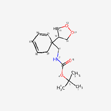 CC(C)(C)OC(=O)NCC1(C2BOOC2)C=CC=CC1